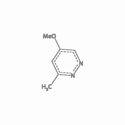 COc1cnnc(C)c1